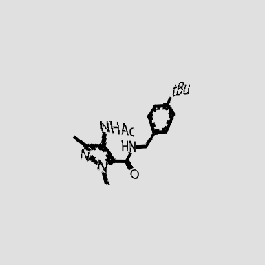 CC(=O)Nc1c(C)nn(C)c1C(=O)NCc1ccc(C(C)(C)C)cc1